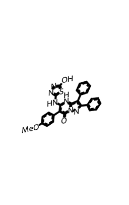 COc1ccc(-c2c(Nc3nnc(O)s3)[nH]c3c(-c4ccccc4)c(-c4ccccc4)nn3c2=O)cc1